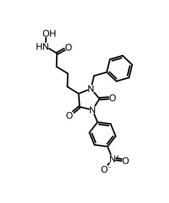 O=C(CCCC1C(=O)N(c2ccc([N+](=O)[O-])cc2)C(=O)N1Cc1ccccc1)NO